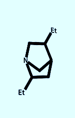 CCC1CN2CC1CC2CC